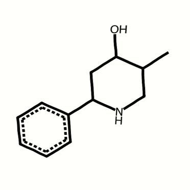 CC1CNC(c2ccccc2)CC1O